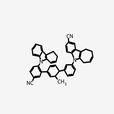 CC1C=C(c2cc(C#N)ccc2-n2c3c(c4ccccc42)CCC=C3)C=CC1c1cccc(-n2c3c(c4cc(C#N)ccc42)CCC=CC3)c1